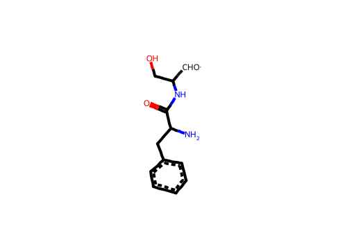 NC(Cc1ccccc1)C(=O)NC([C]=O)CO